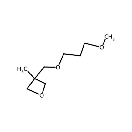 COCCCOCC1(C)COC1